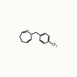 FC(F)(F)c1ccc(CN2C=CCCC=N2)cc1